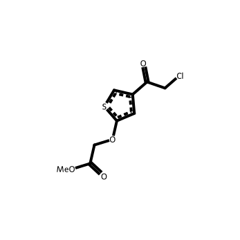 COC(=O)COc1cc(C(=O)CCl)cs1